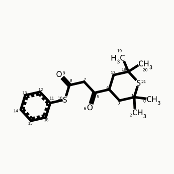 CC1(C)CC(C(=O)CC(=O)Sc2ccccc2)CC(C)(C)S1